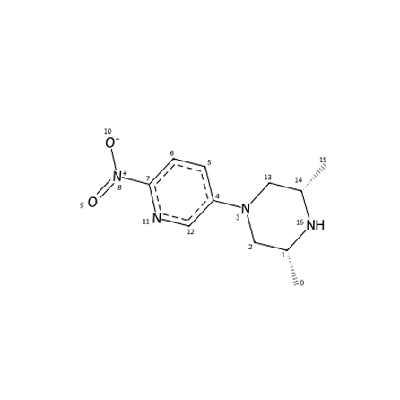 C[C@@H]1CN(c2ccc([N+](=O)[O-])nc2)C[C@H](C)N1